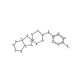 Fc1ccc(SC2CC[N+]3(CC2)CC2CCCCC2C3)cc1